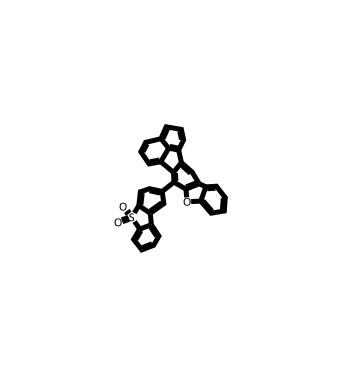 O=S1(=O)c2ccccc2-c2cc(-c3c4c(cc5c3oc3ccccc35)-c3cccc5cccc-4c35)ccc21